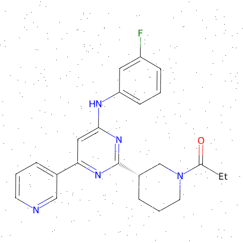 CCC(=O)N1CCC[C@H](c2nc(Nc3cccc(F)c3)cc(-c3cccnc3)n2)C1